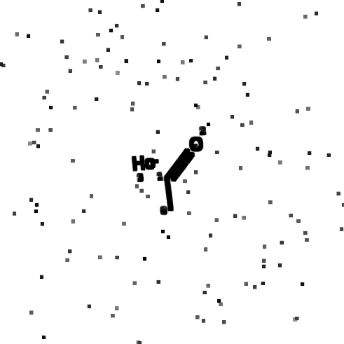 CC=O.[Ho]